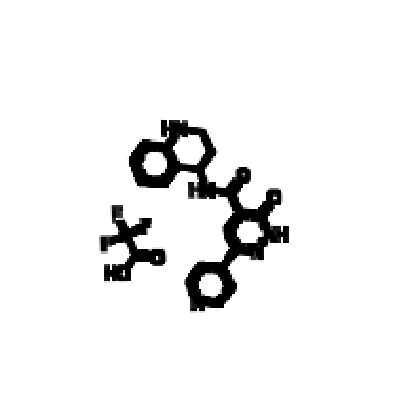 O=C(NC1CCNc2ccccc21)c1cc(-c2ccncc2)n[nH]c1=O.O=C(O)C(F)(F)F